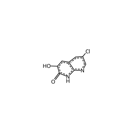 O=c1[nH]c2ncc(Cl)cc2cc1O